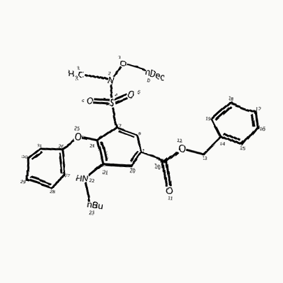 CCCCCCCCCCON(C)S(=O)(=O)c1cc(C(=O)OCc2ccccc2)cc(NCCCC)c1Oc1ccccc1